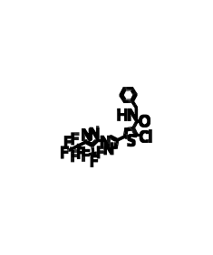 Cn1nc(C(F)(F)C(F)(F)F)c(C(F)(F)F)c1-n1cc(-c2cc(C(=O)NCc3ccccc3)c(Cl)s2)cn1